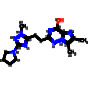 Cc1nc2c(O)nc(CCc3nc(N4CCCC4)nn3C)nn2c1C